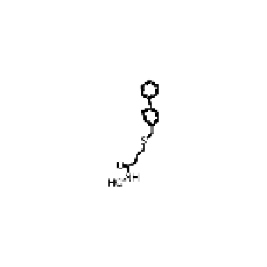 O=C(CCCSCc1ccc(-c2ccccc2)cc1)NO